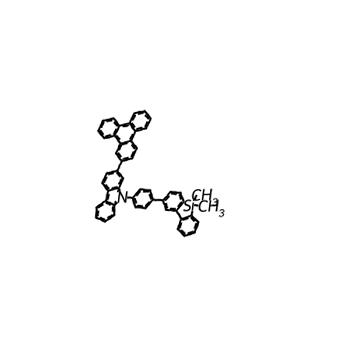 C[Si]1(C)c2ccccc2-c2cc(-c3ccc(-n4c5ccccc5c5ccc(-c6ccc7c8ccccc8c8ccccc8c7c6)cc54)cc3)ccc21